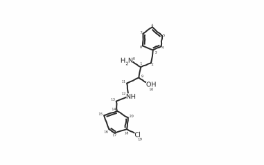 NC(Cc1ccccc1)C(O)CNCc1cccc(Cl)c1